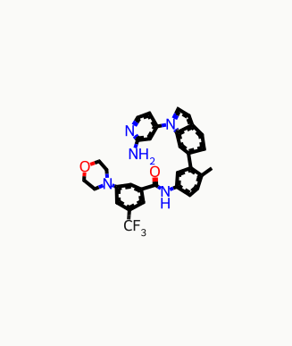 Cc1ccc(NC(=O)c2cc(N3CCOCC3)cc(C(F)(F)F)c2)cc1-c1ccc2ccn(-c3ccnc(N)c3)c2c1